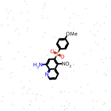 COc1ccc(S(=O)(=O)c2cc(N)c3ncccc3c2[N+](=O)[O-])cc1